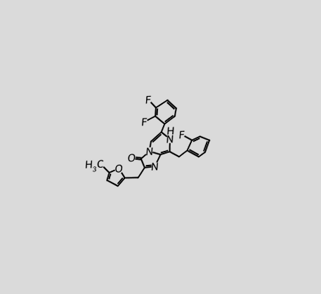 Cc1ccc(Cc2nc3c(Cc4ccccc4F)[nH]c(-c4cccc(F)c4F)cn-3c2=O)o1